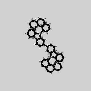 c1cnc2c(c1)ccc1cccc(-n3c4ccccc4c4ccc(-c5ccc6c7ccccc7n(-c7cccc8ccc9cccnc9c78)c6c5)cc43)c12